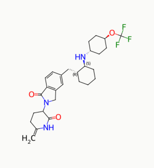 C=C1CCC(N2Cc3cc(C[C@H]4CCCC[C@@H]4N[C@H]4CC[C@H](OC(F)(F)F)CC4)ccc3C2=O)C(=O)N1